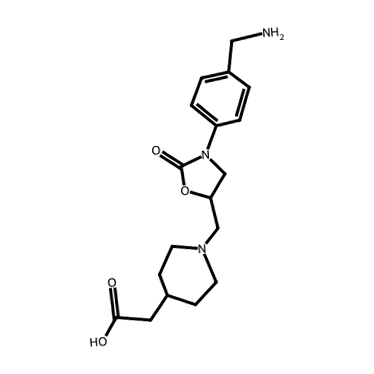 NCc1ccc(N2CC(CN3CCC(CC(=O)O)CC3)OC2=O)cc1